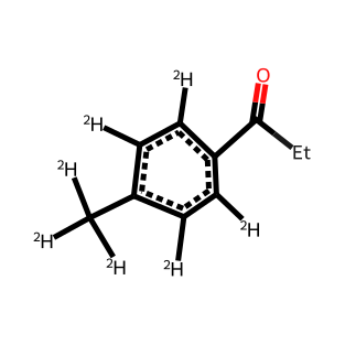 [2H]c1c([2H])c(C([2H])([2H])[2H])c([2H])c([2H])c1C(=O)CC